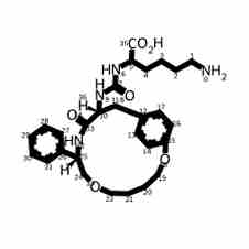 NCCCCC(NC(=O)N[C@@H]1Cc2ccc(cc2)OCCCCOC[C@H](c2ccccc2)NC1=O)C(=O)O